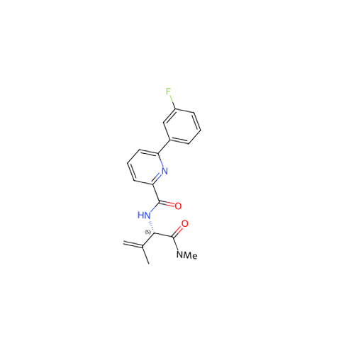 C=C(C)[C@H](NC(=O)c1cccc(-c2cccc(F)c2)n1)C(=O)NC